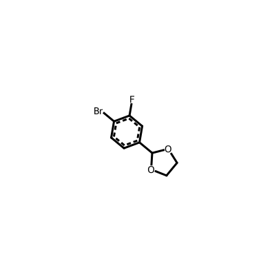 Fc1cc(C2OCCO2)ccc1Br